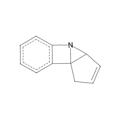 C1=CC2N3c4ccccc4C23C1